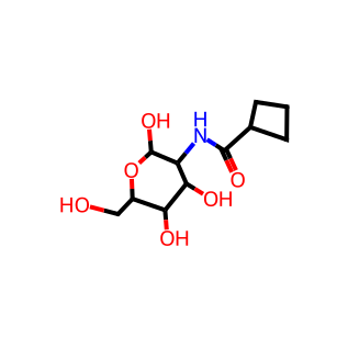 O=C(NC1C(O)OC(CO)C(O)C1O)C1CCC1